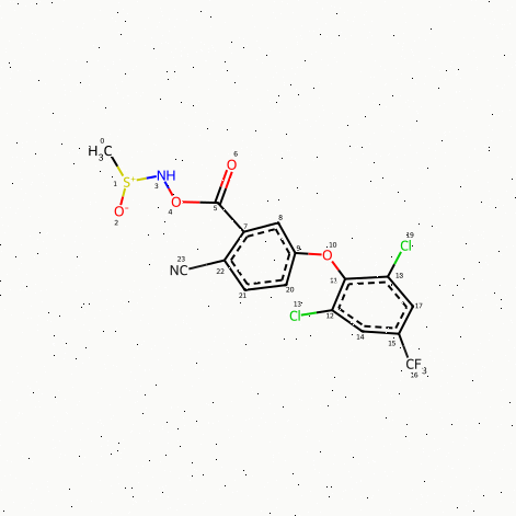 C[S+]([O-])NOC(=O)c1cc(Oc2c(Cl)cc(C(F)(F)F)cc2Cl)ccc1C#N